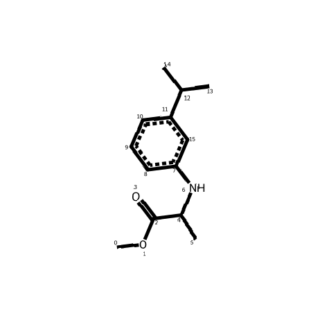 COC(=O)C(C)Nc1cccc(C(C)C)c1